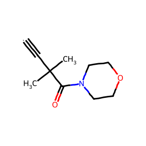 [C]#CC(C)(C)C(=O)N1CCOCC1